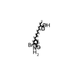 CCC(CCCCC=CCc1ccc(C(N)=O)c(Br)c1)C(=O)O